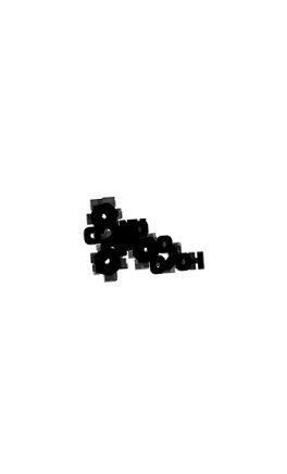 O=S(=O)(N[C@@H](c1cc2ccccc2s1)c1ccccc1Cl)c1ccc2c(c1)OC[C@@H](O)CO2